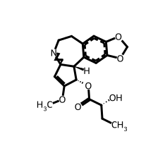 CC[C@@H](O)C(=O)O[C@@H]1C(OC)=C[C@]23CCCN2CCc2cc4c(cc2[C@H]13)OCO4